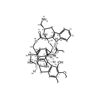 COc1c(C)cc2c(c1O)[C@H]1N[C@@H](C2)[C@H](O)N2[C@H]1[C@@H]1SC[C@]3(N[C@@H](CN)Cc4c3[nH]c3ccccc43)C(=O)OC[C@H]2c2c3c(c(C)c(OC(C)=O)c21)OCO3